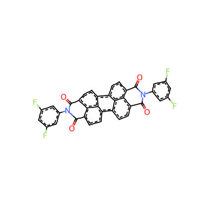 O=C1c2ccc3c4ccc5c6c(ccc(c7ccc(c2c37)C(=O)N1c1cc(F)cc(F)c1)c64)C(=O)N(c1cc(F)cc(F)c1)C5=O